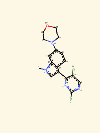 Cn1cc(-c2nc(Cl)ncc2Cl)c2ccc(N3CCOCC3)cc21